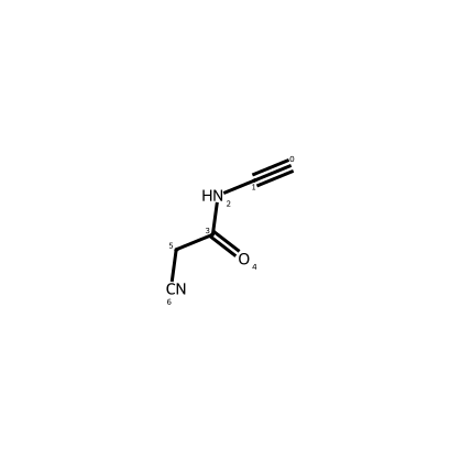 C#CNC(=O)CC#N